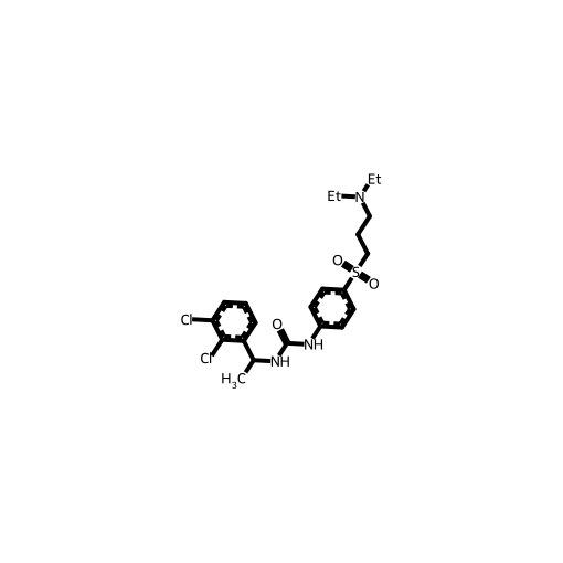 CCN(CC)CCCS(=O)(=O)c1ccc(NC(=O)NC(C)c2cccc(Cl)c2Cl)cc1